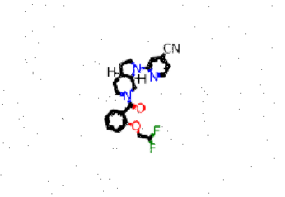 N#Cc1ccnc(N2CC[C@@H]3CCN(C(=O)c4ccccc4OCC(F)F)C[C@@H]32)c1